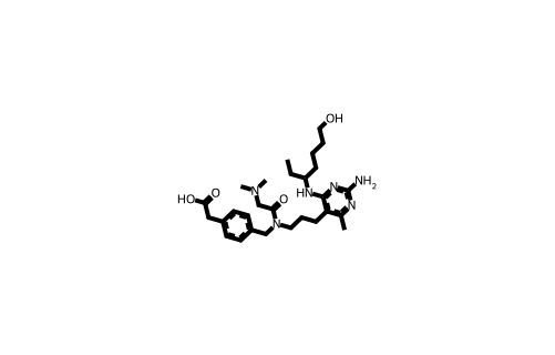 CCC(CCCCO)Nc1nc(N)nc(C)c1CCCN(Cc1ccc(CC(=O)O)cc1)C(=O)CN(C)C